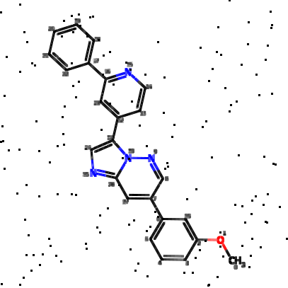 COc1cccc(-c2cnn3c(-c4ccnc(-c5ccccc5)c4)cnc3c2)c1